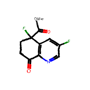 COC(=O)C1(F)CCC(=O)c2ncc(F)cc21